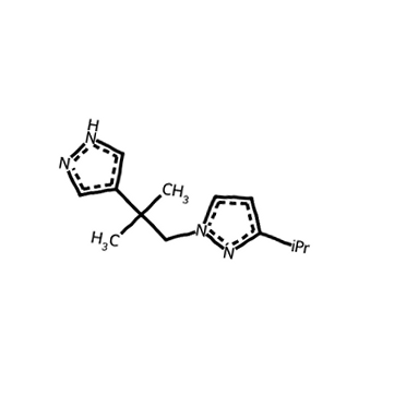 CC(C)c1ccn(CC(C)(C)c2cn[nH]c2)n1